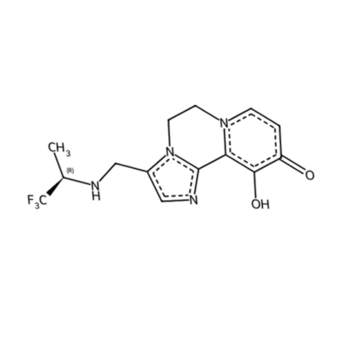 C[C@@H](NCc1cnc2n1CCn1ccc(=O)c(O)c1-2)C(F)(F)F